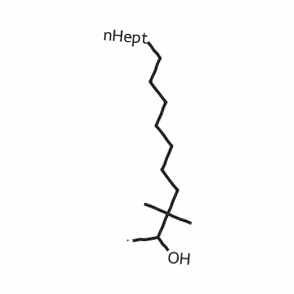 [CH2]C(O)C(C)(C)CCCCCCCCCCCCCC